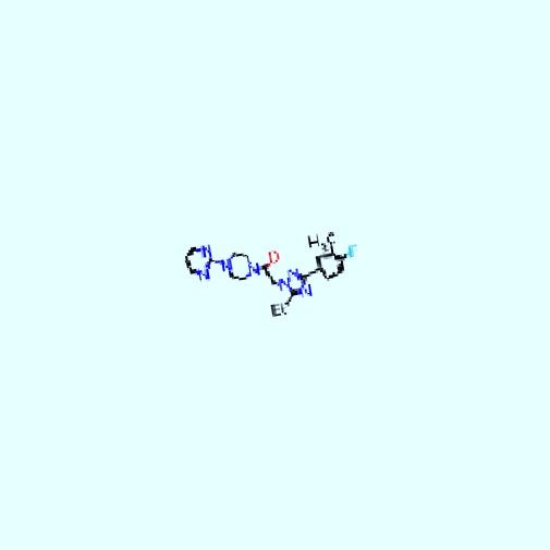 CCc1nc(-c2ccc(F)c(C)c2)nn1CC(=O)N1CCN(c2ncccn2)CC1